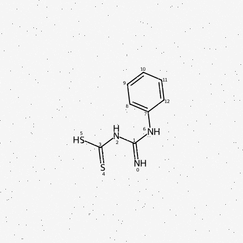 N=C(NC(=S)S)Nc1ccccc1